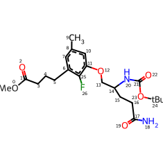 COC(=O)CCCc1cc(C)cc(OCC(CCC(N)=O)NC(=O)OC(C)(C)C)c1F